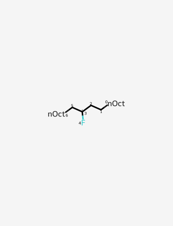 CCCCCCCCCC[C](F)CCCCCCCCC